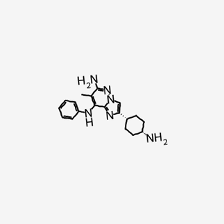 Cc1c(N)nn2cc([C@H]3CC[C@@H](N)CC3)nc2c1Nc1ccccc1